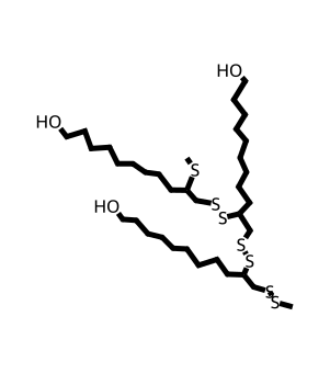 CSSCC(CCCCCCCCCO)SSCC(CCCCCCCCCO)SSCC(CCCCCCCCCO)SC